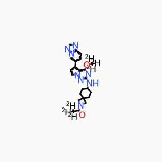 [2H]C([2H])([2H])Oc1nc(NC2CCC3(CC2)CN(C(=O)C([2H])([2H])[2H])C3)nn2ccc(-c3ccc4ncnn4c3)c12